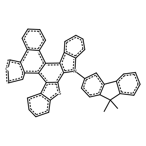 CC1(C)c2ccccc2-c2cc(-n3c4ccccc4c4c5c6ccccc6c6ccccc6c5c5c6ccccc6sc5c43)ccc21